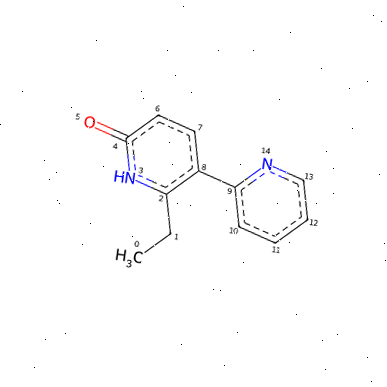 CCc1[nH]c(=O)ccc1-c1ccccn1